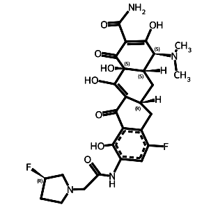 CN(C)[C@@H]1C(O)=C(C(N)=O)C(=O)[C@@]2(O)C(O)=C3C(=O)c4c(O)c(NC(=O)CN5CC[C@@H](F)C5)cc(F)c4C[C@H]3C[C@@H]12